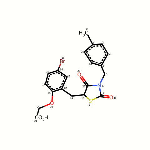 Cc1ccc(CN2C(=O)SC(Cc3cc(Br)ccc3OCC(=O)O)C2=O)cc1